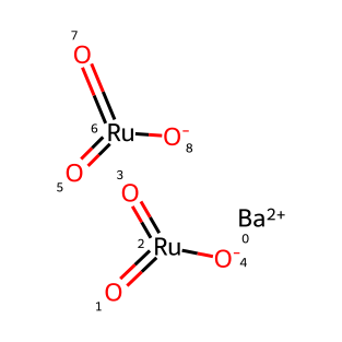 [Ba+2].[O]=[Ru](=[O])[O-].[O]=[Ru](=[O])[O-]